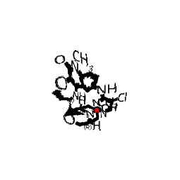 Cn1c(=O)c2c(c3cc(Nc4nc(N5[C@@H]6COC[C@H]5CC(C)(O)C6)ncc4Cl)ccc31)N[C@@H](C1CC1)CCO2